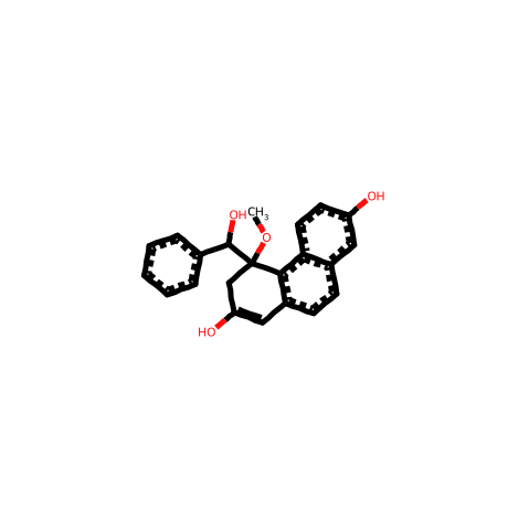 COC1(C(O)c2ccccc2)CC(O)=Cc2ccc3cc(O)ccc3c21